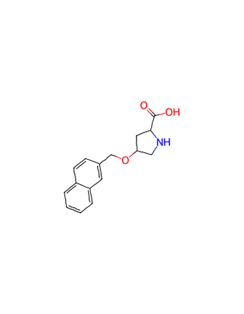 O=C(O)C1CC(OCc2ccc3ccccc3c2)CN1